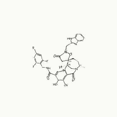 C[C@H]1CC[C@]2(CC(=O)N(Cc3nc4ccccc4[nH]3)O2)[C@H]2CN1C(=O)C1=C(O)C(O)C(C(=O)NCc3c(F)cc(F)cc3F)=CN12